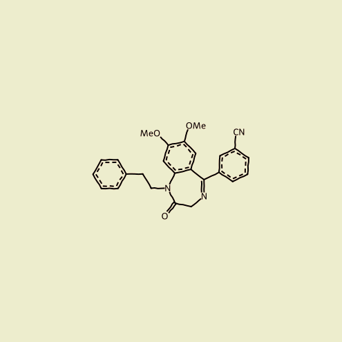 COc1cc2c(cc1OC)N(CCc1ccccc1)C(=O)CN=C2c1cccc(C#N)c1